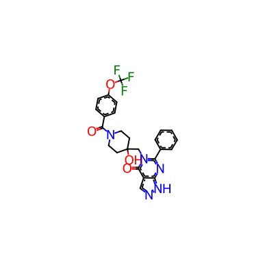 O=C(c1ccc(OC(F)(F)F)cc1)N1CCC(O)(Cn2c(-c3ccccc3)nc3[nH]ncc3c2=O)CC1